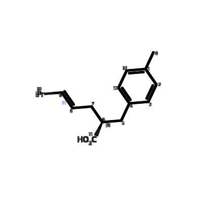 Cc1ccc(C[C@H](C/C=C/C(C)C)C(=O)O)cc1